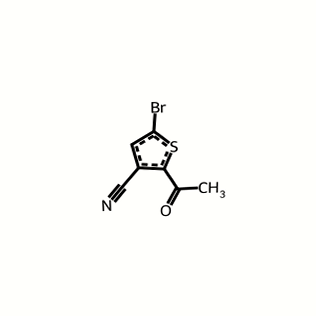 CC(=O)c1sc(Br)cc1C#N